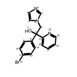 OC(Cn1ccnc1)(c1ccc(Br)cc1)c1ccccn1